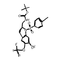 Cc1ccc(S(=O)(=O)n2c(CNC(=O)OC(C)(C)C)cc3cc(OC(F)(F)F)c(O)cc32)cc1